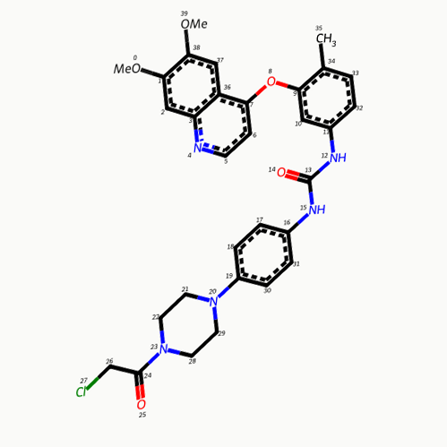 COc1cc2nccc(Oc3cc(NC(=O)Nc4ccc(N5CCN(C(=O)CCl)CC5)cc4)ccc3C)c2cc1OC